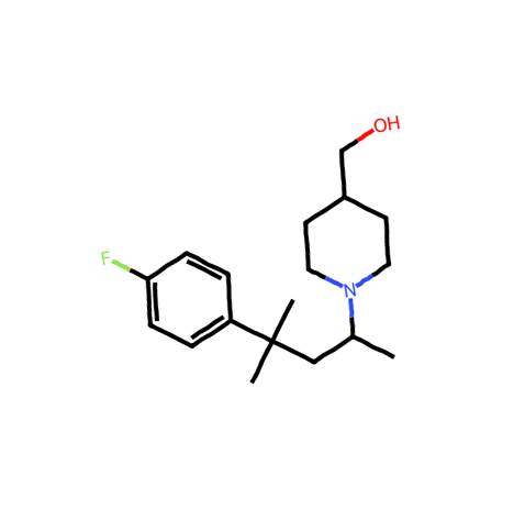 CC(CC(C)(C)c1ccc(F)cc1)N1CCC(CO)CC1